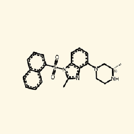 Cc1nc2c(N3CCN[C@@H](C)C3)cccc2n1S(=O)(=O)c1cccc2ccccc12